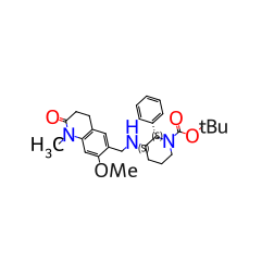 COc1cc2c(cc1CN[C@H]1CCCN(C(=O)OC(C)(C)C)[C@H]1c1ccccc1)CCC(=O)N2C